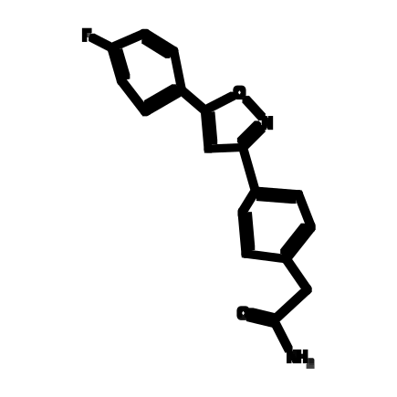 NC(=O)Cc1ccc(-c2cc(-c3ccc(F)cc3)on2)cc1